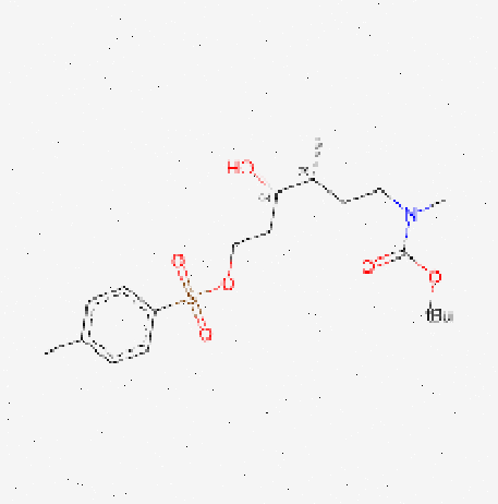 Cc1ccc(S(=O)(=O)OCC[C@H](O)[C@H](C)CCN(C)C(=O)OC(C)(C)C)cc1